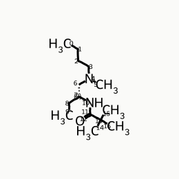 CCCCN(C)C[C@@H](CC)NC(=O)C(C)(C)C